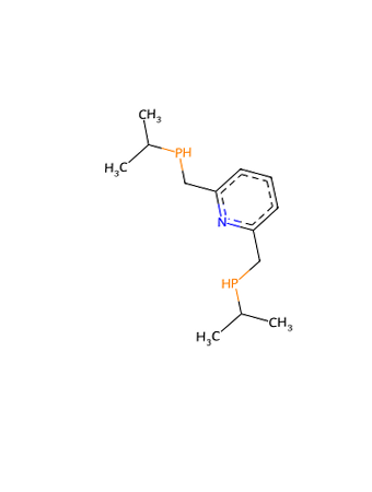 CC(C)PCc1cccc(CPC(C)C)n1